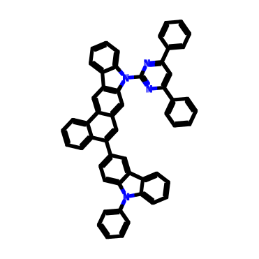 c1ccc(-c2cc(-c3ccccc3)nc(-n3c4ccccc4c4cc5c(cc(-c6ccc7c(c6)c6ccccc6n7-c6ccccc6)c6ccccc65)cc43)n2)cc1